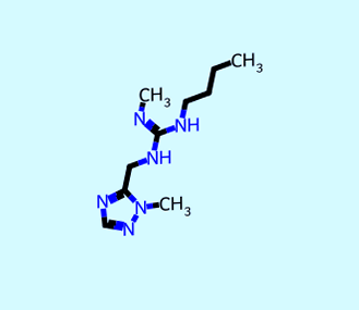 CCCCNC(=NC)NCc1ncnn1C